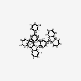 C1=CC2c3ccccc3N(c3ncc(N4C5C=CC=CC5C5C=CC=CC54)cc3-c3nc(-c4ccccc4)nc(C4C=CCCC4)n3)C2C=C1